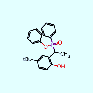 CC(c1cc(C(C)(C)C)ccc1O)P(=O)(Oc1ccccc1)c1ccccc1